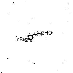 CCCCOc1ccc(C=CCC[C]=O)cc1